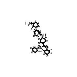 Cc1c(N)cccc1-c1ccnc(Nc2ccc(C(=O)N(Cc3ccccc3)Cc3ccccc3)cc2)n1